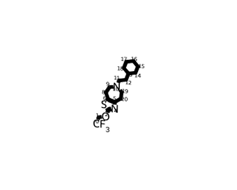 FC(F)(F)COc1nc2c(s1)CCN(CCC1CCCCC1)CC2